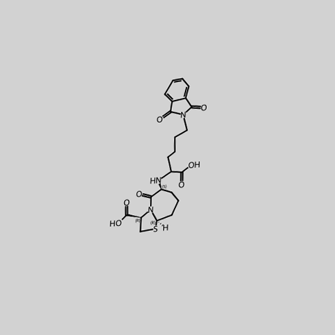 O=C(O)C(CCCCN1C(=O)c2ccccc2C1=O)N[C@H]1CCC[C@H]2SC[C@@H](C(=O)O)N2C1=O